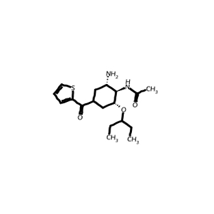 CCC(CC)O[C@@H]1CC(C(=O)c2cccs2)C[C@H](N)[C@H]1NC(C)=O